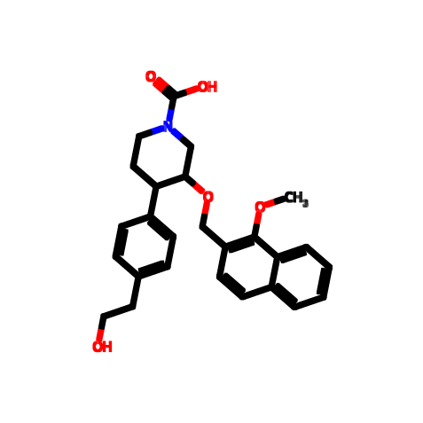 COc1c(COC2CN(C(=O)O)CCC2c2ccc(CCO)cc2)ccc2ccccc12